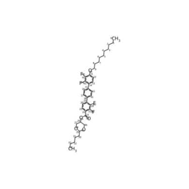 CCCCCCCCCCOc1ccc(-c2ccc(-c3ccc(C(=O)OC4COC(CCCCC)OC4)c(F)c3F)cc2)c(F)c1F